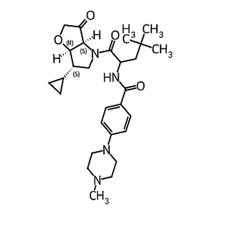 CN1CCN(c2ccc(C(=O)NC(CC(C)(C)C)C(=O)N3C[C@H](C4CC4)[C@H]4OCC(=O)[C@H]43)cc2)CC1